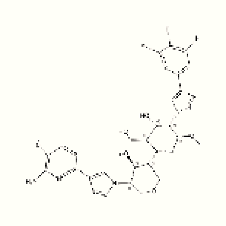 COc1cnc(-c2cn([C@H]3COC[C@@H]([SH]4C[C@H](OC)[C@@H](n5cc(-c6cc(F)c(F)c(F)c6)nn5)[C@@H](O)[C@H]4CO)[C@@H]3O)nn2)nc1N